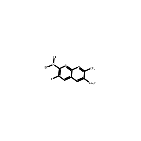 CCN(CC)c1nc2nc(C(F)(F)F)c(C(=O)O)cc2cc1F